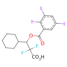 O=C(OC(C1CCCCC1)C(F)(F)C(=O)O)c1cc(I)cc(I)c1I